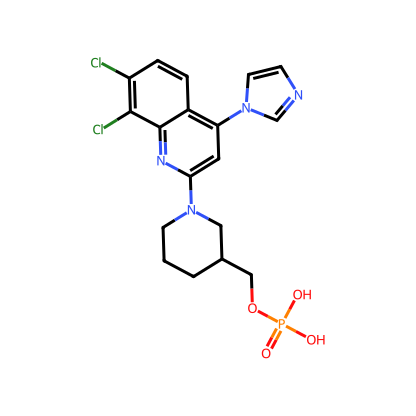 O=P(O)(O)OCC1CCCN(c2cc(-n3ccnc3)c3ccc(Cl)c(Cl)c3n2)C1